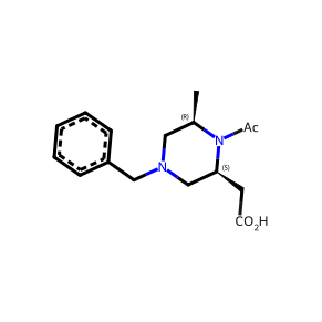 CC(=O)N1[C@@H](CC(=O)O)CN(Cc2ccccc2)C[C@H]1C